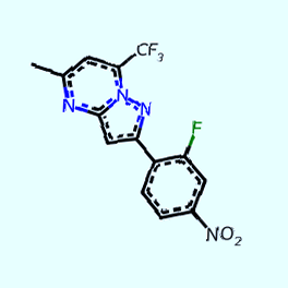 Cc1cc(C(F)(F)F)n2nc(-c3ccc([N+](=O)[O-])cc3F)cc2n1